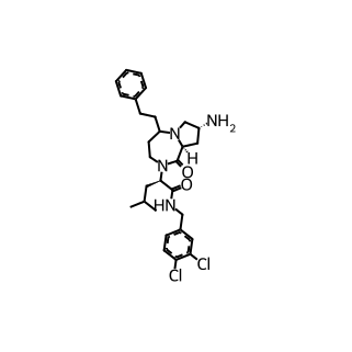 CC(C)C[C@H](C(=O)NCc1ccc(Cl)c(Cl)c1)N1CCC(CCc2ccccc2)N2C[C@H](N)C[C@H]2C1=O